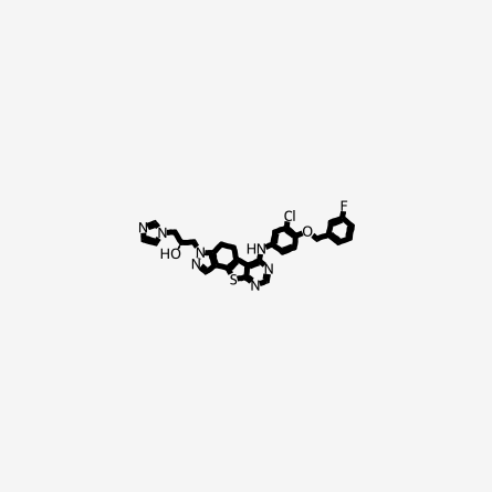 O[C@H](Cn1ccnc1)Cn1ncc2c1CCc1c-2sc2ncnc(Nc3ccc(OCc4cccc(F)c4)c(Cl)c3)c12